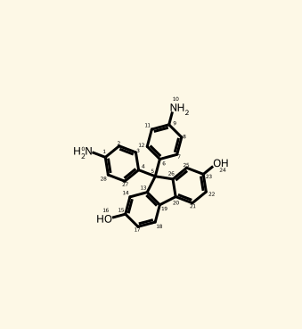 Nc1ccc(C2(c3ccc(N)cc3)c3cc(O)ccc3-c3ccc(O)cc32)cc1